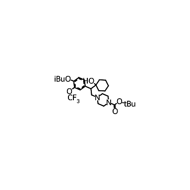 CC(C)COc1ccc(C(CN2CCN(C(=O)OC(C)(C)C)CC2)C2(O)CCCCC2)cc1OC(F)(F)F